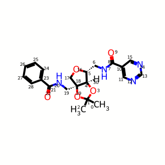 CC1(C)O[C@@H]2[C@@H](CNC(=O)c3cncnc3)OC[C@]2(CNC(=O)c2ccccc2)O1